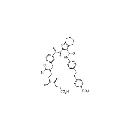 CCC(CC)N(CCN(C(=O)CCC(=O)O)C(C)C)Cc1cccc(C(=O)Nc2sc3c(c2C(=O)Nc2ccc(CCc4ccc(C(=O)O)cc4)cc2)CCCC3)c1